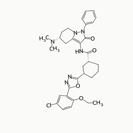 CCOc1ccc(Cl)cc1-c1nnc(C2CCC[C@@H](C(=O)Nc3c4n(n(-c5ccccc5)c3=O)CC[C@@H](N(C)C)C4)C2)o1